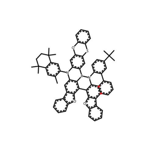 Cc1cc2c(cc1N1c3cc4c(cc3B3c5c1cc1c(oc6ccccc61)c5-c1c(ccc5c1oc1ccccc15)N3c1ccc(C(C)(C)C)cc1-c1ccccc1)Sc1ccccc1O4)C(C)(C)CCC2(C)C